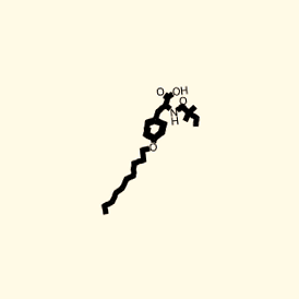 CCCCCCCCCCOc1ccc(CC(NC(=O)C(C)(C)CC)C(=O)O)cc1